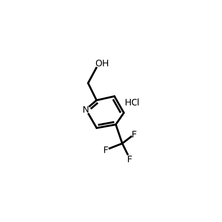 Cl.OCc1ccc(C(F)(F)F)cn1